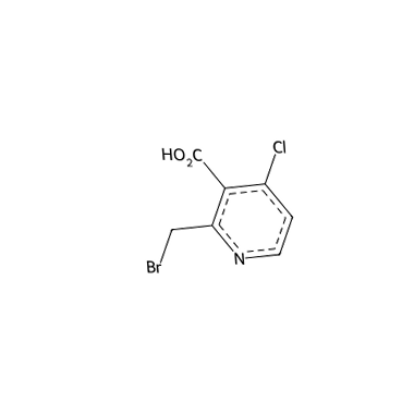 O=C(O)c1c(Cl)ccnc1CBr